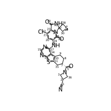 N#CC1CN(C(=O)[C@H]2CCc3c(sc4ncnc(Nc5cc(Cl)c6n(c5=O)C5(CSC5)NC6=O)c34)C2)C1